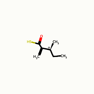 C=C(C(=O)S)[C@@H](C)CC